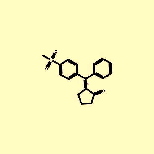 CS(=O)(=O)c1ccc(/C(=C2\CCCC2=O)c2ccccc2)cc1